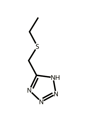 CCSCc1nnn[nH]1